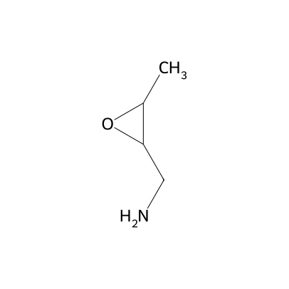 CC1OC1CN